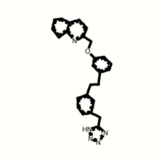 c1cc(CCc2cccc(OCc3ccc4ccccc4n3)c2)cc(Cc2nnn[nH]2)c1